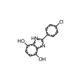 Oc1ccc(O)c2[nH]c(-c3ccc(Cl)cc3)nc12